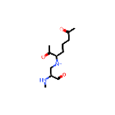 CNC(C=O)CNC(CCCC(C)=O)C(C)=O